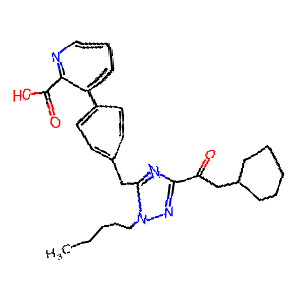 CCCCn1nc(C(=O)CC2CCCCC2)nc1Cc1ccc(-c2cccnc2C(=O)O)cc1